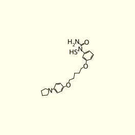 NC(=O)N(S)c1cccc(OCCCCCOc2ccc(N3CCCC3)cc2)c1